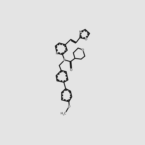 COc1ccc(-c2ccc(CN(C(=O)C3CCOCC3)c3cc(C=Cc4ncco4)ccn3)cc2)cc1